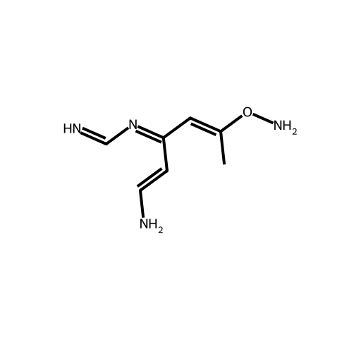 C\C(=C/C(/C=C/N)=N/C=N)ON